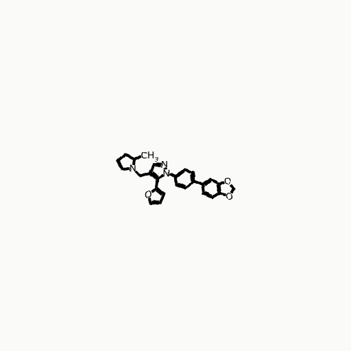 CC1CCCN1Cc1cnn(-c2ccc(-c3ccc4c(c3)OCO4)cc2)c1-c1ccco1